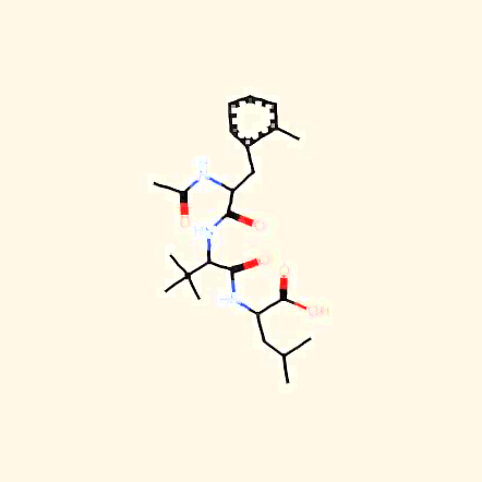 CC(=O)NC(Cc1ccccc1C)C(=O)NC(C(=O)NC(CC(C)C)C(=O)O)C(C)(C)C